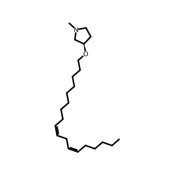 CCCCC/C=C\C/C=C\CCCCCCCCO[C@@H]1CCN(C)C1